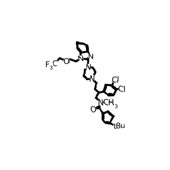 CN(CC(CCN1CCCN(c2nc3ccccc3n2CCOCC(F)(F)F)CC1)c1ccc(Cl)c(Cl)c1)C(=O)c1ccc(C(C)(C)C)cc1